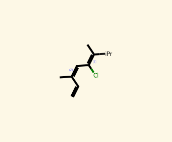 C=C/C(C)=C\C(Cl)=C(/C)C(C)C